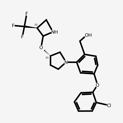 OCc1ccc(Oc2ccccc2Cl)cc1N1CC[C@H](OC2NC[C@@H]2C(F)(F)F)C1